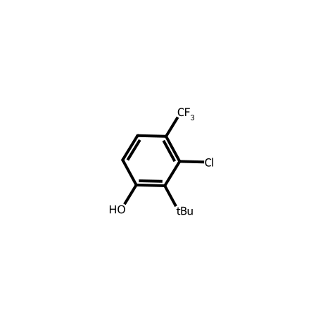 CC(C)(C)c1c(O)ccc(C(F)(F)F)c1Cl